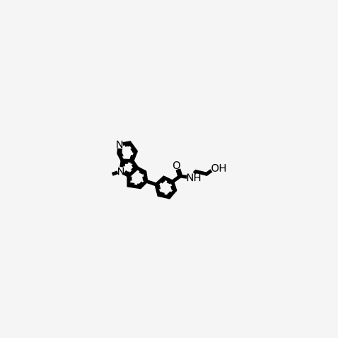 Cn1c2ccc(-c3cccc(C(=O)NCCO)c3)cc2c2ccncc21